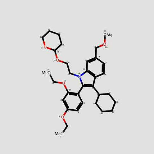 COCOc1ccc(-c2c(C3CCCCC3)c3ccc(COOC)cc3n2CCOC2CCCCO2)c(OCOC)c1